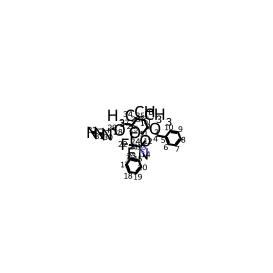 C[C@@H]1C(OCc2ccccc2)C(O/C(=N/c2ccccc2)C(F)(F)F)OC(COCN=[N+]=[N-])C1(C)C